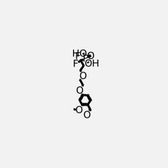 COc1cc(OCCOCCC(F)(F)P(=O)(O)O)ccc1C=O